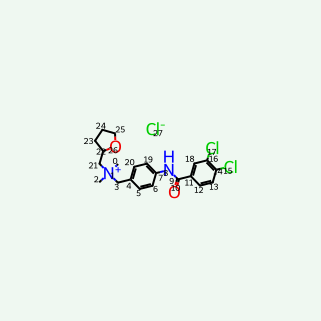 C[N+](C)(Cc1ccc(NC(=O)c2ccc(Cl)c(Cl)c2)cc1)CC1CCCO1.[Cl-]